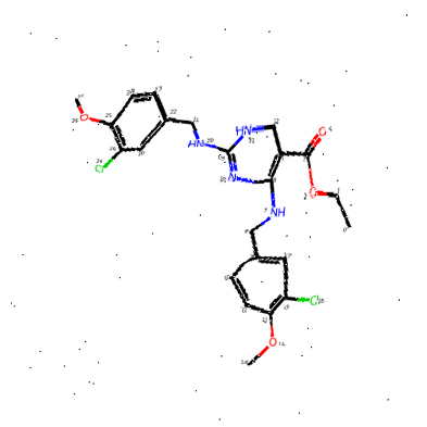 CCOC(=O)C1=C(NCc2ccc(OC)c(Cl)c2)N=C(NCc2ccc(OC)c(Cl)c2)NC1